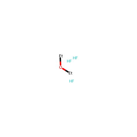 CCOCC.F.F.F